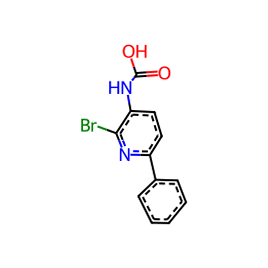 O=C(O)Nc1ccc(-c2ccccc2)nc1Br